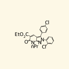 CCCn1c(=O)c(C(=O)OCC)cc2c(-c3ccc(Cl)cc3)n(-c3ccccc3Cl)nc21